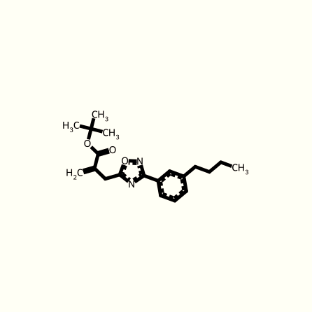 C=C(Cc1nc(-c2cccc(CCCC)c2)no1)C(=O)OC(C)(C)C